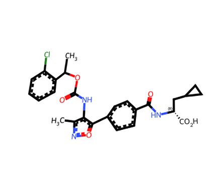 Cc1noc(-c2ccc(C(=O)N[C@H](CC3CC3)C(=O)O)cc2)c1NC(=O)OC(C)c1ccccc1Cl